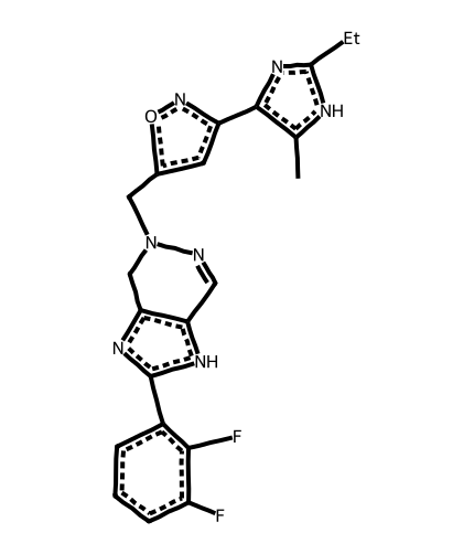 CCc1nc(-c2cc(CN3Cc4nc(-c5cccc(F)c5F)[nH]c4C=N3)on2)c(C)[nH]1